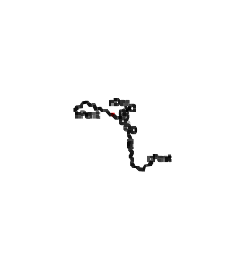 CCCCC/C=C\C/C=C\C/C=C\CCCCCCCCC(=O)OC[C@@H](COC(=O)CCCCCCCCCCC)OC(=O)CCCCCCCCC/C=C\C/C=C\CCCCC